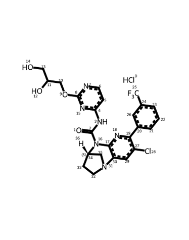 Cl.O=C(Nc1ccnc(OCC(O)CO)n1)N1c2nc(-c3cccc(C(F)(F)F)c3)c(Cl)cc2N2CC[C@H]1C2